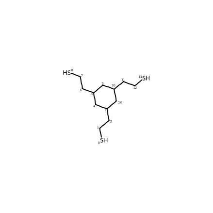 SCCC1CC(CCS)CC(CCS)C1